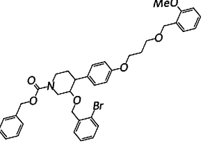 COc1ccccc1COCCCOc1ccc(C2CCN(C(=O)OCc3ccccc3)CC2OCc2ccccc2Br)cc1